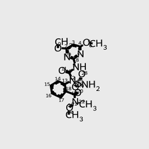 COc1cc(OC)nc(NC(=O)N(c2ccccc2C(=O)N(C)OC)S(N)(=O)=O)n1